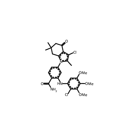 COc1cc(Nc2cc(-n3c(C)c(Cl)c4c3CC(C)(C)CC4=O)ccc2C(N)=O)c(Cl)c(OC)c1OC